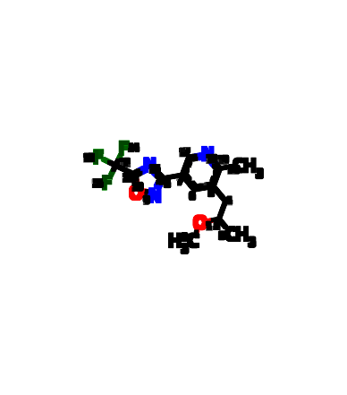 COC(C)Cc1cc(-c2noc(C(F)(F)F)n2)cnc1C